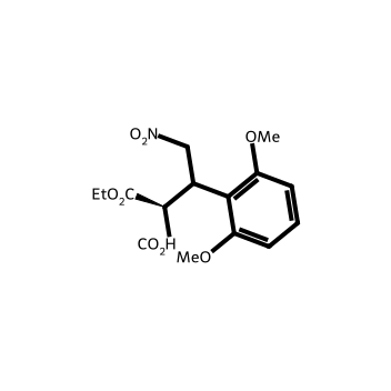 CCOC(=O)[C@H](C(=O)O)C(C[N+](=O)[O-])c1c(OC)cccc1OC